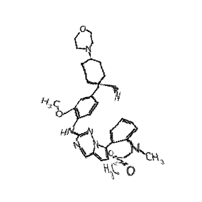 COc1cc([C@]2(C#N)CC[C@@H](N3CCOCC3)CC2)ccc1Nc1ncc2ccc(-c3ccccc3N(C)S(C)(=O)=O)n2n1